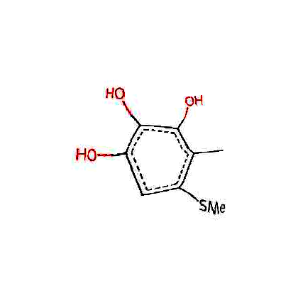 CSc1cc(O)c(O)c(O)c1C